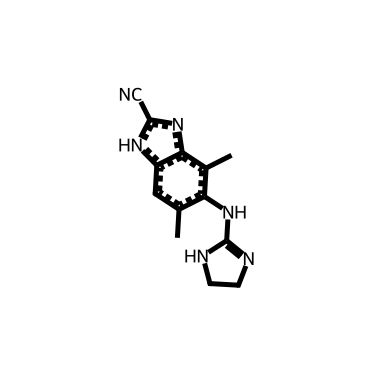 Cc1cc2[nH]c(C#N)nc2c(C)c1NC1=NCCN1